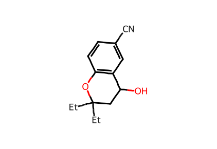 CCC1(CC)CC(O)c2cc(C#N)ccc2O1